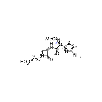 CO/N=C(\C(=O)NC1CN(OCC(=O)O)C1=O)c1csc(N)n1